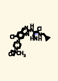 CC1(N2CCN(c3cc4nc(N/C(C=N)=C(\Cl)NCC5CC5)ncc4cc3Cl)CC2)COC1